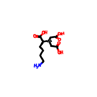 NCCCCC(C(=O)O)[As](CC(=O)O)CC(=O)O